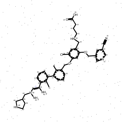 Cc1c(COc2cc(OCc3cncc(C#N)c3)c(CNCCCC(=O)O)cc2Cl)cccc1-c1cccc(/C(N)=C/N(N)CC2CCNC2)c1C